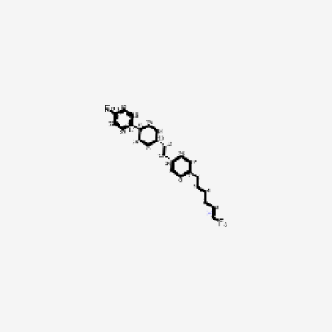 F/C=C/CCCC[C@H]1CC[C@H](CC[C@H]2CC[C@H](c3ccc(F)cc3)CC2)CC1